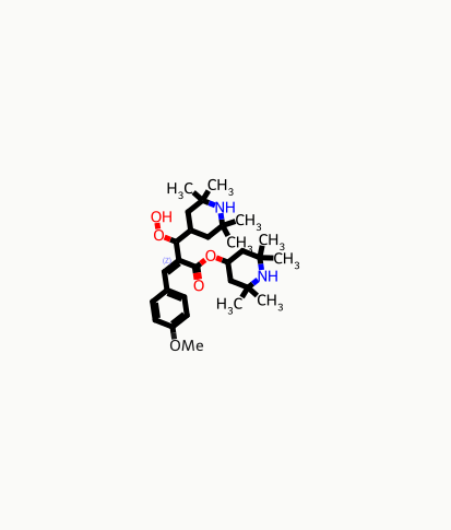 COc1ccc(/C=C(\C(=O)OC2CC(C)(C)NC(C)(C)C2)C(OO)C2CC(C)(C)NC(C)(C)C2)cc1